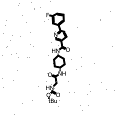 CC(C)(C)OC(=O)NCC(=O)N[C@H]1CC[C@H](NC(=O)c2ccc(-c3cccc(F)c3)nc2)CC1